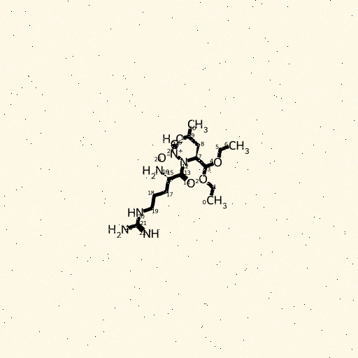 CCOC(OCC)[C@H](CC(C)C)N(C(=O)[C@@H](N)CCCNC(=N)N)[N+](=O)[O-]